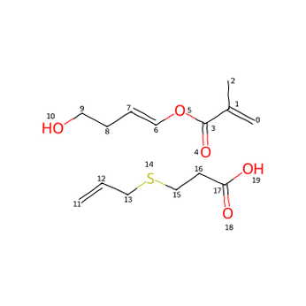 C=C(C)C(=O)OC=CCCO.C=CCSCCC(=O)O